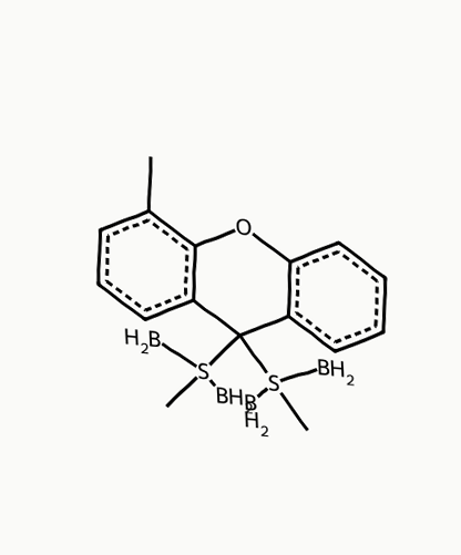 BS(B)(C)C1(S(B)(B)C)c2ccccc2Oc2c(C)cccc21